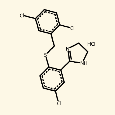 Cl.Clc1ccc(Cl)c(CSc2ccc(Cl)cc2C2=NCCN2)c1